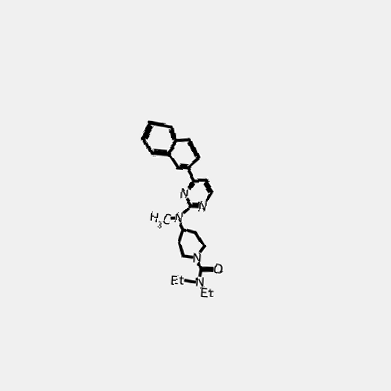 CCN(CC)C(=O)N1CCC(N(C)c2nccc(-c3ccc4ccccc4c3)n2)CC1